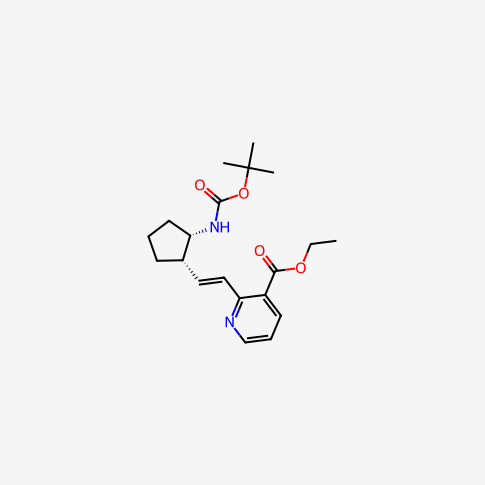 CCOC(=O)c1cccnc1/C=C/[C@@H]1CCC[C@@H]1NC(=O)OC(C)(C)C